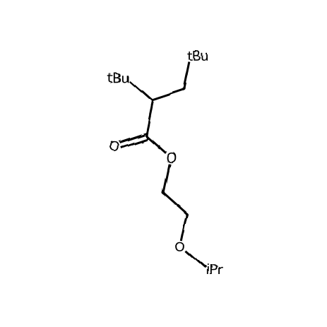 CC(C)OCCOC(=O)C(CC(C)(C)C)C(C)(C)C